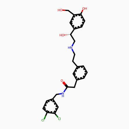 O=C(Cc1cccc(CCNC[C@H](O)c2ccc(O)c(CO)c2)c1)NCc1ccc(Cl)c(Cl)c1